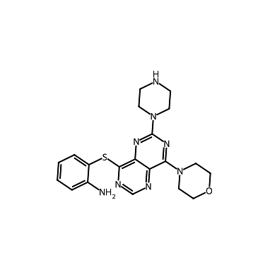 Nc1ccccc1Sc1ncnc2c(N3CCOCC3)nc(N3CCNCC3)nc12